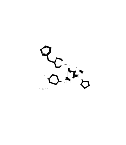 Cl.Cl.Cl.NC1CCC(Nc2nc(NN3CCC(Cc4cccc(F)c4)CC3)c3ncn(C4CCCC4)c3n2)CC1